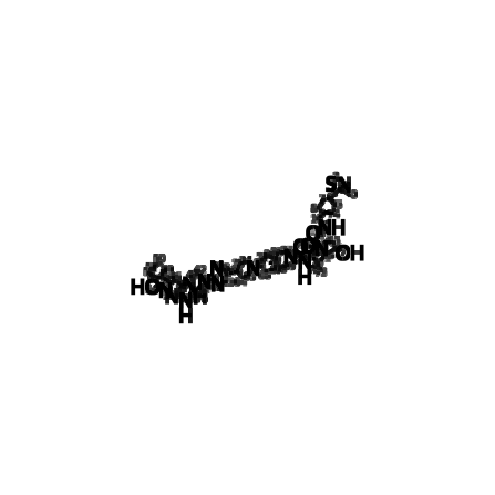 Cc1ncsc1-c1ccc(CNC(=O)[C@@H]2C[C@@H](O)CN2C(=O)[C@@H](NC(=O)N2CCC3(CCC(N4CCC(c5cnc(N6CCN7c8cc(-c9ccccc9O)nnc8NC[C@H]7C6)nc5)CC4)CC3)CC2)C(C)(C)C)cc1